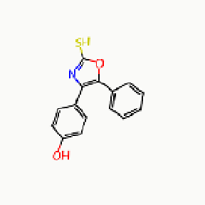 Oc1ccc(-c2nc(S)oc2-c2ccccc2)cc1